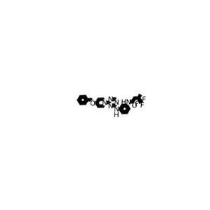 CC(CC(=O)Nc1cccc(Nc2ncnc(N3CCC(OCc4ccccc4)CC3)n2)c1)C(F)(F)F